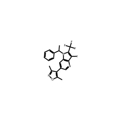 Cc1noc(C)c1-c1cnc2c(I)c(C(F)(F)F)n(C(C)c3ccccc3)c2c1